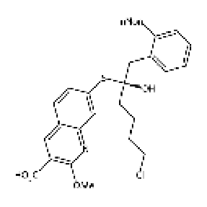 CCCCCCCCCc1ccccc1C[C@](O)(CCCCCl)Sc1ccc2cc(C(=O)O)c(OC)nc2c1